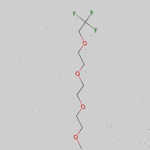 COCCOCCOCCOCC(F)(F)F